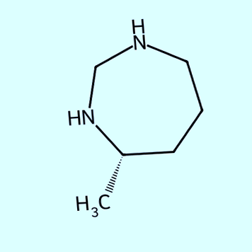 C[C@H]1CCCNCN1